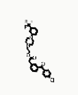 O=C(Cc1cccc(C(=O)c2ccc(Cl)cc2)c1)OCCN1CCN(c2cccc(C(F)(F)F)c2)CC1